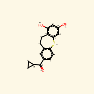 O=C(c1ccc2c(c1)CCc1c(O)cc(O)cc1S2)C1CC1